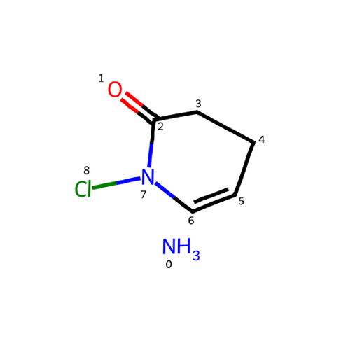 N.O=C1CCC=CN1Cl